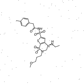 CCN[C@H]1CN(CCCOC)S(=O)(=O)c2sc(S(=O)(=O)NC(=O)Cc3ccc(C)cc3)cc21